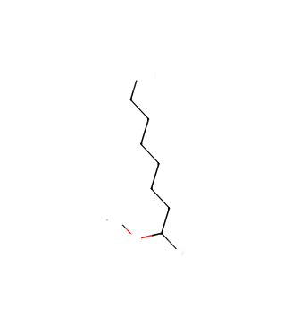 CCCC(CCCCCCC(=O)O)OC=O